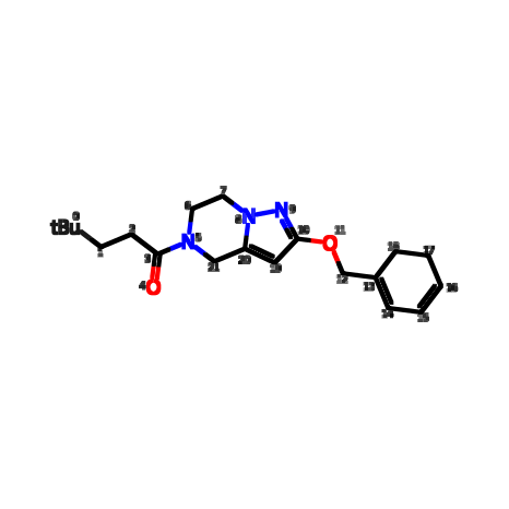 CC(C)(C)CCC(=O)N1CCn2nc(OCC3=CC=CCC3)cc2C1